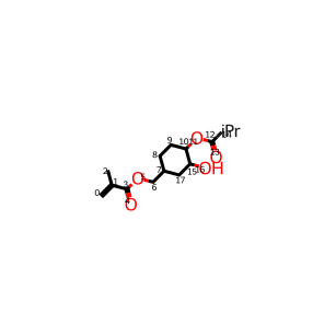 C=C(C)C(=O)OCC1CCC(OC(=O)C(C)C)C(O)C1